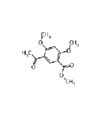 COC(=O)c1cc(C(C)=O)c(OC)cc1OC